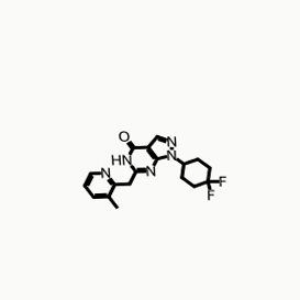 Cc1cccnc1Cc1nc2c(cnn2C2CCC(F)(F)CC2)c(=O)[nH]1